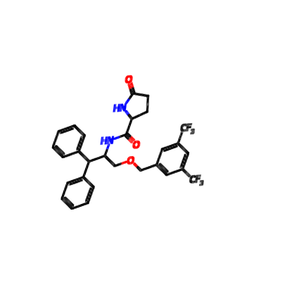 O=C1CCC(C(=O)NC(COCc2cc(C(F)(F)F)cc(C(F)(F)F)c2)C(c2ccccc2)c2ccccc2)N1